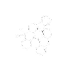 CC1(C)c2ccccc2N(B2c3ccccc3Oc3ccccc32)c2c1ccc1c2oc2ccccc21